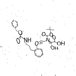 C[C@H](CN(C(=O)OC(C)(C)C)[C@@H](O)C(=O)O)Oc1ccccc1CCCNC(=O)OCc1ccccc1